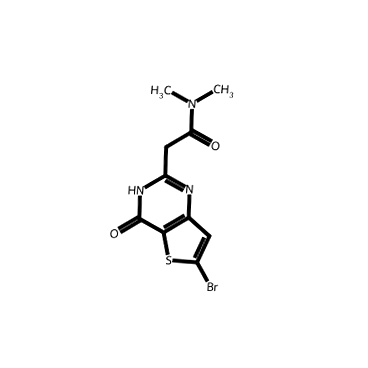 CN(C)C(=O)Cc1nc2cc(Br)sc2c(=O)[nH]1